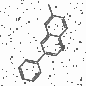 Cc1ccc2ncc(-c3ccccc3)cc2c1